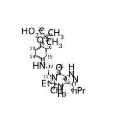 CCCc1n[nH]c2c1NC(C)(CC)N(CCNc1ccc(OC(C)(C)C(=O)O)cc1)C2=O